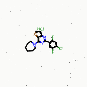 Cl.Fc1cc(-c2nc(N3CCCCCC3)c3sccc3n2)c(F)cc1Cl